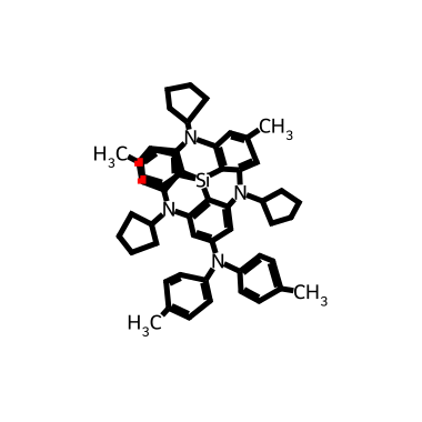 Cc1ccc(N(c2ccc(C)cc2)c2cc3c4c(c2)N(C2CCCC2)c2cc(C)cc5c2[Si]4(c2ccccc2)c2c(cc(C)cc2N3C2CCCC2)N5C2CCCC2)cc1